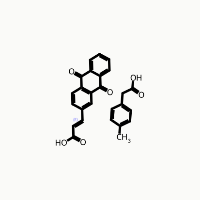 Cc1ccc(CC(=O)O)cc1.O=C(O)/C=C/c1ccc2c(c1)C(=O)c1ccccc1C2=O